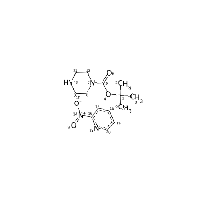 CC(C)(C)OC(=O)N1CCNCC1.O=[N+]([O-])c1ccccn1